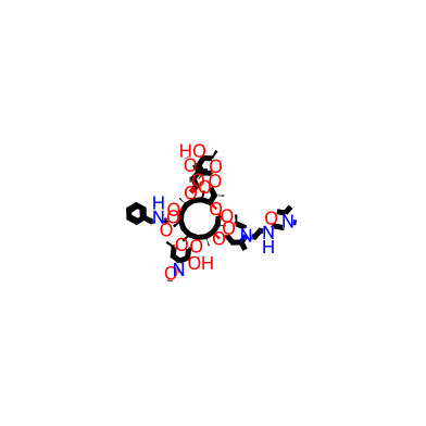 CON=C1C[C@@H](C)O[C@@H](O[C@@H]2[C@@H](C)[C@H](O[C@H]3CC(C)N(CCNC(=O)CN(C)C(C)C)C[C@H](C)O3)[C@@H](C)C(=O)O[C@H]([C@@H](C)CO[C@@H]3O[C@H](C)[C@@H](O)[C@@H](OC)[C@H]3OC)[C@H](C)[C@@H](OC(=O)CC(C)C)[C@@H](C)C(=O)[C@@](C)(OC(=O)NCc3ccccc3)C[C@@H]2C)[C@@H]1O